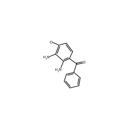 Nc1c(Cl)ccc(C(=O)c2ccccc2)c1N